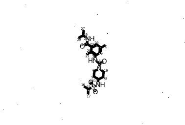 Cc1cc(NC(=O)N2CCC(NS(=O)(=O)C(C)C)CC2)c(C)c(C(=O)NC(C)C)c1